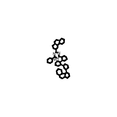 N#Cc1cccc(-c2cccc(-c3cccc4ccc5ccccc5c34)c2)c1-c1ccccc1-c1nc(-c2ccccc2)nc(-c2ccc3ccc4ccccc4c3c2)n1